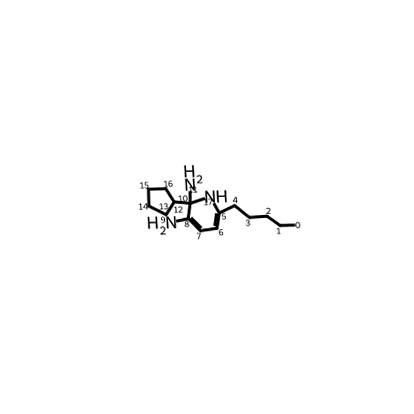 CCCCCC1=CC=C(N)C(N)(C2CCCC2)N1